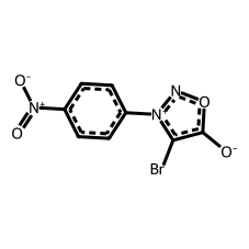 O=[N+]([O-])c1ccc(-[n+]2noc([O-])c2Br)cc1